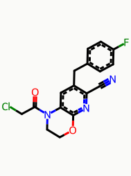 N#Cc1nc2c(cc1Cc1ccc(F)cc1)N(C(=O)CCl)CCO2